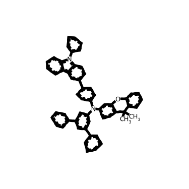 CC1(C)c2ccccc2Oc2cc(N(c3ccc(-c4ccc5c(c4)c4ccccc4n5-c4ccccc4)cc3)c3cc(-c4ccccc4)cc(-c4ccccc4)c3)ccc21